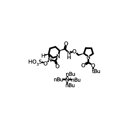 CC(C)(C)OC(=O)N1CCC[C@@H]1CONC(=O)[C@@H]1CC[C@@H]2CN1C(=O)N2OS(=O)(=O)O.CCCC[N+](CCCC)(CCCC)CCCC